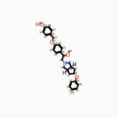 COC(CN1C[C@H]2C[C@H](Oc3ccc(F)cc3)C[C@H]2C1)c1ccc(OCc2ccc(O)cc2)cc1